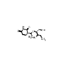 CCC(O)[C@@H](CO)OC(C)n1ccc(=O)[nH]c1=O